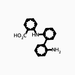 Nc1ccccc1-c1ccccc1Nc1ccccc1C(=O)O